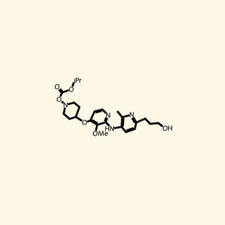 COc1c(OC2CCN(OC(=O)OC(C)C)CC2)ccnc1Nc1ccc(CCCO)nc1C